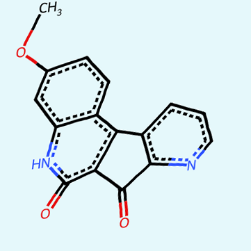 COc1ccc2c3c(c(=O)[nH]c2c1)C(=O)c1ncccc1-3